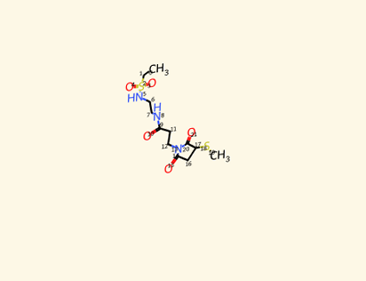 CCS(=O)(=O)NCCNC(=O)CCN1C(=O)CC(SC)C1=O